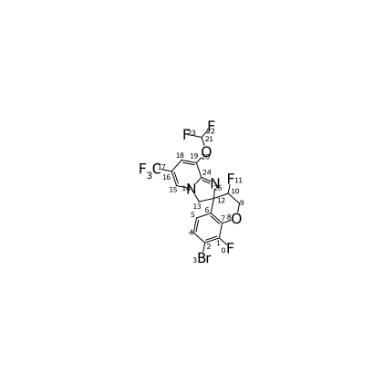 Fc1c(Br)ccc2c1OCC(F)C21CN2C=C(C(F)(F)F)C=C(OC(F)F)C2=N1